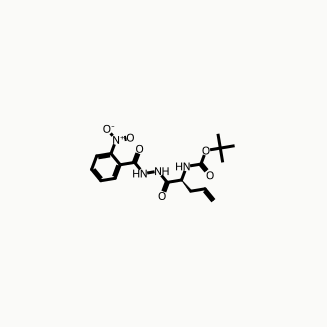 C=CC[C@H](NC(=O)OC(C)(C)C)C(=O)NNC(=O)c1ccccc1[N+](=O)[O-]